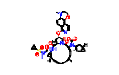 C[C@H]1CC/C=C\[C@@H]2C[C@@]2(C(=O)NS(=O)(=O)C2CC2)NC(=O)[C@@H]2C[C@@H](Oc3nccc4c5c(ccc34)N(C)CCO5)CN2C(=O)[C@@H](N(C(=O)O)[C@H]2CC3C[C@H]3C2)[C@H](C)C1